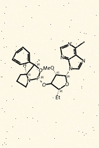 CC[C@H]1O[C@@H](n2cnc3c(C)ncnc32)[C@@H](OC)C1O[P@@]1O[C@](C)(c2ccccc2)[C@@H]2CCCN21